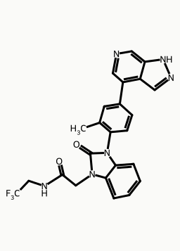 Cc1cc(-c2cncc3[nH]ncc23)ccc1-n1c(=O)n(CC(=O)NCC(F)(F)F)c2ccccc21